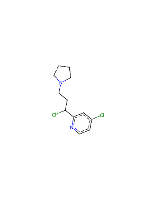 Clc1ccnc(C(Cl)CCN2CCCC2)c1